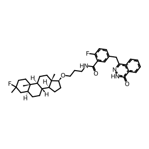 CC1(F)CC[C@@]2(C)[C@@H](CC[C@@H]3[C@@H]2CC[C@]2(C)[C@@H](OCCCNC(=O)c4cc(Cc5n[nH]c(=O)c6ccccc56)ccc4F)CC[C@@H]32)C1